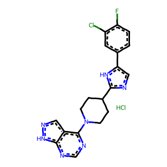 Cl.Fc1ccc(-c2cnc(C3CCN(c4ncnc5[nH]ncc45)CC3)[nH]2)cc1Cl